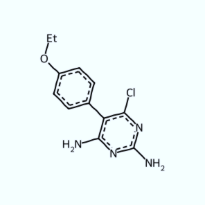 CCOc1ccc(-c2c(N)nc(N)nc2Cl)cc1